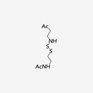 CC(=O)CCNSSCCNC(C)=O